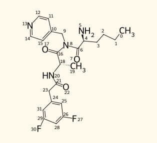 CCCC[C@H](N)C(=O)N(Cc1ccncc1)C(=O)[C@H](C)NC(=O)Cc1cc(F)cc(F)c1